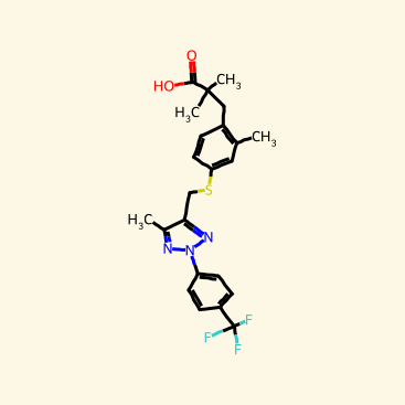 Cc1cc(SCc2nn(-c3ccc(C(F)(F)F)cc3)nc2C)ccc1CC(C)(C)C(=O)O